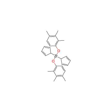 Cc1ccc([O][Zr]([O]c2ccc(C)c(C)c2C)([CH]2C=CC=C2)[CH]2C=CC=C2)c(C)c1C